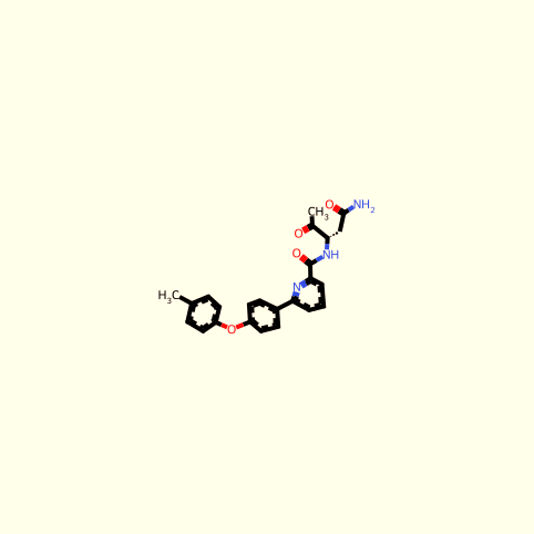 CC(=O)[C@H](CC(N)=O)NC(=O)c1cccc(-c2ccc(Oc3ccc(C)cc3)cc2)n1